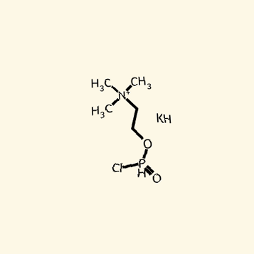 C[N+](C)(C)CCO[PH](=O)Cl.[KH]